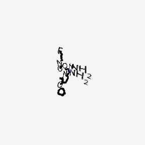 Cc1nc(/C(N)=C(\COC(=O)N(C)CCCF)N(C)N)ccc1OC1CCCCC1